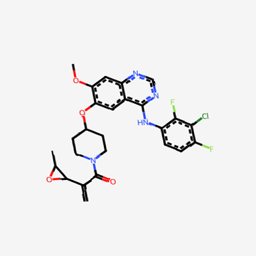 C=C(C(=O)N1CCC(Oc2cc3c(Nc4ccc(F)c(Cl)c4F)ncnc3cc2OC)CC1)C1OC1C